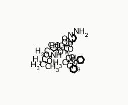 CC(C)C(NC(=O)OC(C)(C)C)C(=O)OC1[C@@H](CO[Si](c2ccccc2)(c2ccccc2)C(C)(C)C)O[C@@H](n2ccc(N)nc2=O)[C@@]1(C)O